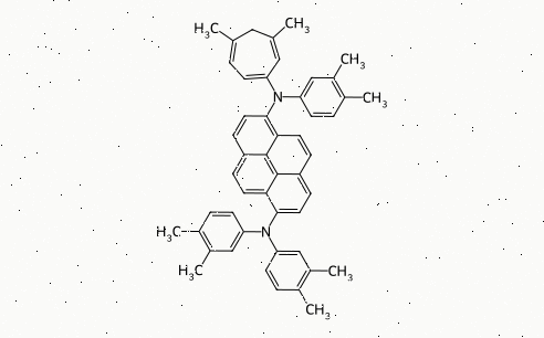 CC1=CC=C(N(c2ccc(C)c(C)c2)c2ccc3ccc4c(N(c5ccc(C)c(C)c5)c5ccc(C)c(C)c5)ccc5ccc2c3c54)C=C(C)C1